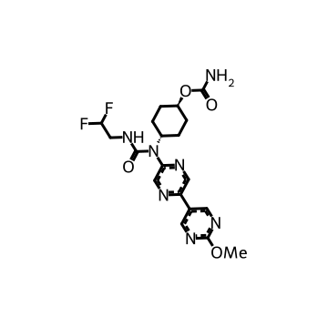 COc1ncc(-c2cnc(N(C(=O)NCC(F)F)[C@H]3CC[C@H](OC(N)=O)CC3)cn2)cn1